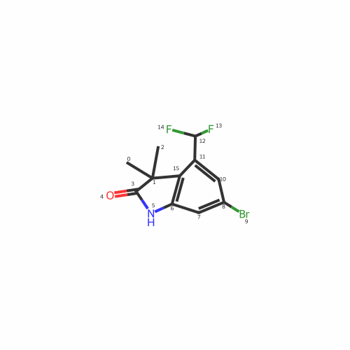 CC1(C)C(=O)Nc2cc(Br)cc(C(F)F)c21